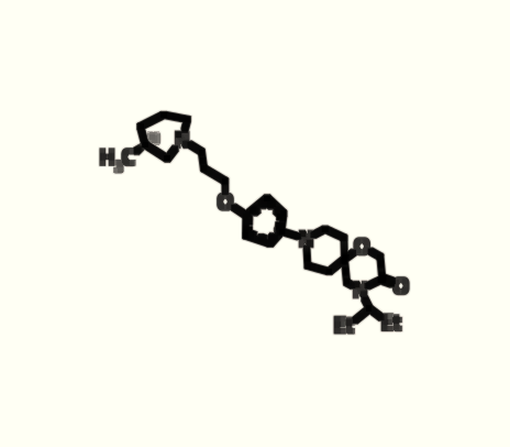 CCC(CC)N1CC2(CCN(c3ccc(OCCCN4CCC[C@H](C)C4)cc3)CC2)OCC1=O